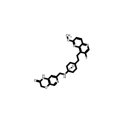 COc1ccc2ncc(F)c(CCC34CCC(NCc5cc6c(cn5)OCC(=O)N6)(CC3)CO4)c2n1